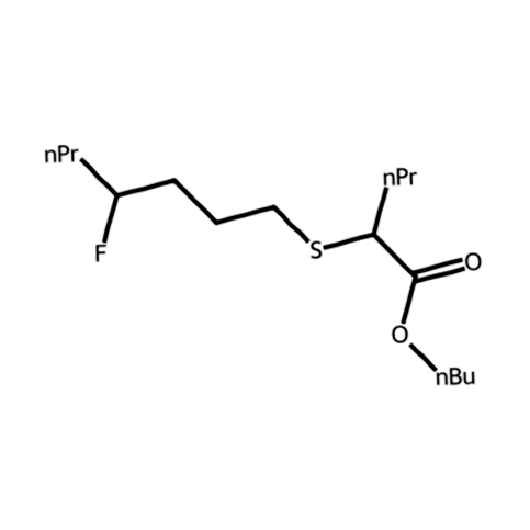 CCCCOC(=O)C(CCC)SCCCC(F)CCC